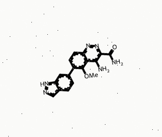 COc1c(-c2ccc3cn[nH]c3c2)ccc2nnc(C(N)=O)c(N)c12